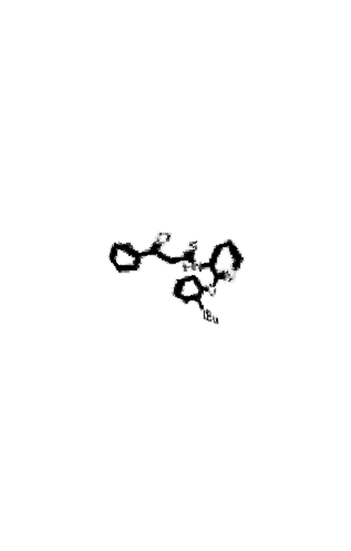 CC(C)(C)c1ccccc1Oc1ncccc1NC(=S)CC(=O)c1ccccc1